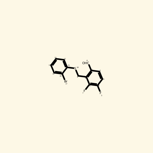 O=Cc1ccc(F)c(F)c1CSc1ccccc1Br